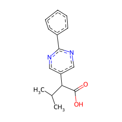 CC(C)C(C(=O)O)c1cnc(-c2ccccc2)nc1